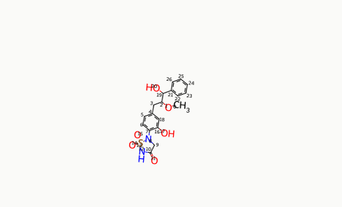 COC(Cc1ccc(N2CC(=O)NS2(=O)=O)c(O)c1)C(O)c1ccccc1